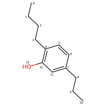 CCCCc1ccc(CCC)cc1O